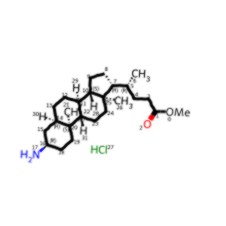 COC(=O)CC[C@@H](C)[C@H]1CC[C@H]2[C@@H]3CC[C@@H]4C[C@H](N)CC[C@]4(C)[C@H]3CC[C@]12C.Cl